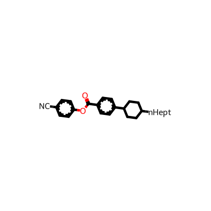 CCCCCCCC1CCC(c2ccc(C(=O)Oc3ccc(C#N)cc3)cc2)CC1